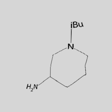 CCC(C)N1CCCC(N)C1